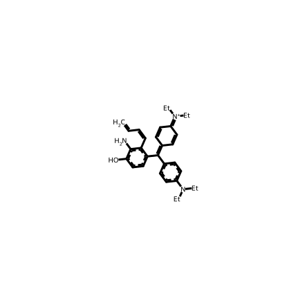 C=C/C=C\c1c(C(=C2C=CC(=[N+](CC)CC)C=C2)c2ccc(N(CC)CC)cc2)ccc(O)c1N